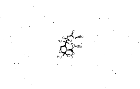 CC(C)(C)OC(=O)CS(=O)(=O)C(C)(C)C1COC(C)(C)N1C(=O)OC(C)(C)C